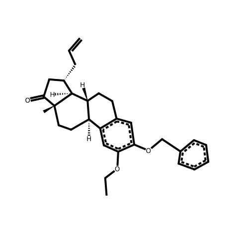 C=CC[C@H]1CC(=O)[C@@]2(C)CC[C@@H]3c4cc(OCC)c(OCc5ccccc5)cc4CC[C@H]3[C@H]12